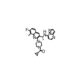 Cc1c(F)ccc2cc([C@H](C)Nc3ccnc4ccnn34)c(N3CCN(C(=O)C4CC4)CC3)nc12